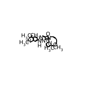 CN1Cc2cc(Nc3ncc4c(=O)n5n(c4n3)-c3cccc(n3)C(C)(C)OCC/C=C\C5)ccc2C(C)(C)C1